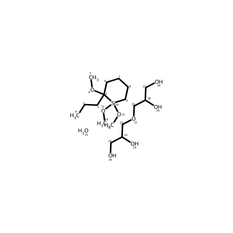 CCCC1(OC)CCCC[Si]1(OC)OC.O.OCC(O)COCC(O)CO